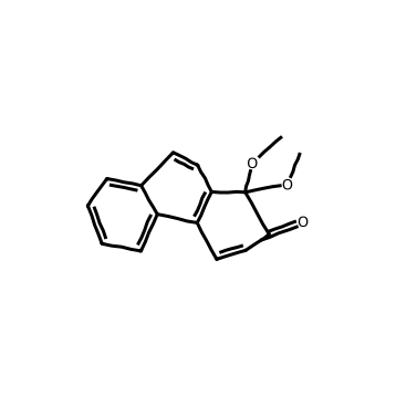 COC1(OC)C(=O)C=Cc2c1ccc1ccccc21